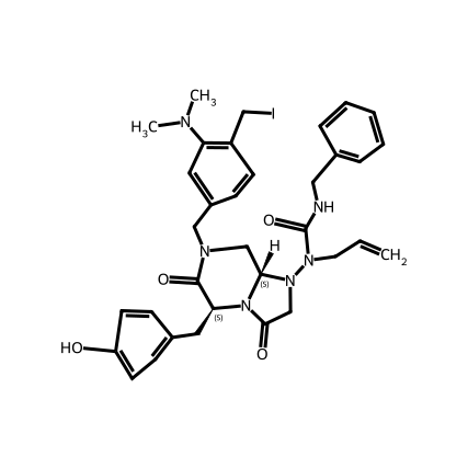 C=CCN(C(=O)NCc1ccccc1)N1CC(=O)N2[C@@H](Cc3ccc(O)cc3)C(=O)N(Cc3ccc(CI)c(N(C)C)c3)C[C@@H]21